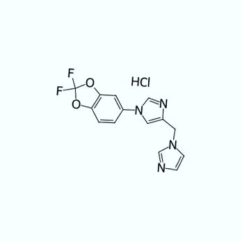 Cl.FC1(F)Oc2ccc(-n3cnc(Cn4ccnc4)c3)cc2O1